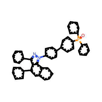 O=P(c1ccccc1)(c1ccccc1)c1ccc(-c2ccc(-n3nc(-c4ccccc4)c4c(-c5ccccc5)cc5ccccc5c43)cc2)cc1